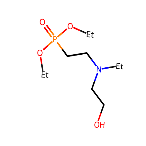 CCOP(=O)(CCN(CC)CCO)OCC